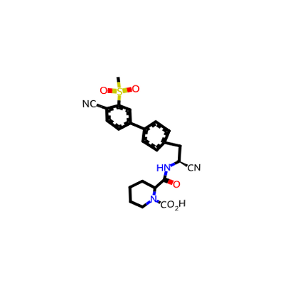 CS(=O)(=O)c1cc(-c2ccc(C[C@@H](C#N)NC(=O)C3CCCCN3C(=O)O)cc2)ccc1C#N